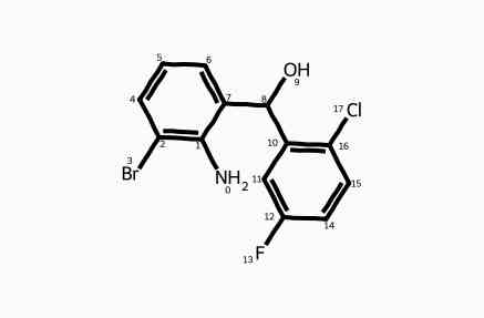 Nc1c(Br)cccc1C(O)c1cc(F)ccc1Cl